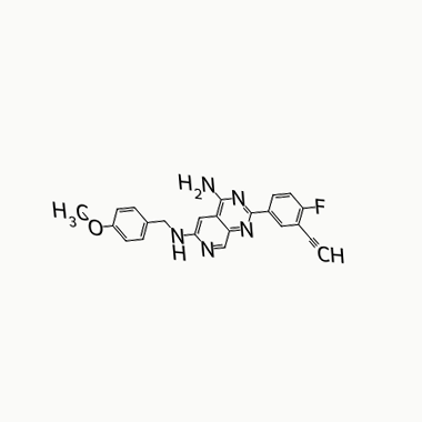 C#Cc1cc(-c2nc(N)c3cc(NCc4ccc(OC)cc4)ncc3n2)ccc1F